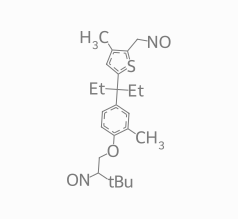 CCC(CC)(c1ccc(OCC(N=O)C(C)(C)C)c(C)c1)c1cc(C)c(CN=O)s1